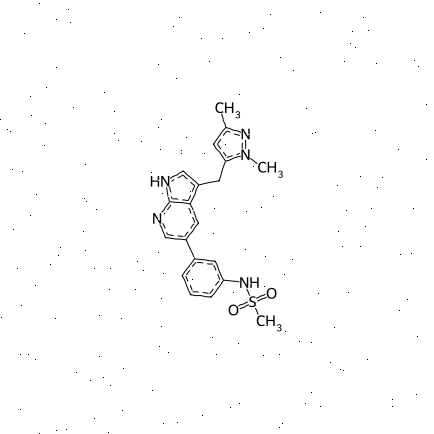 Cc1cc(Cc2c[nH]c3ncc(-c4cccc(NS(C)(=O)=O)c4)cc23)n(C)n1